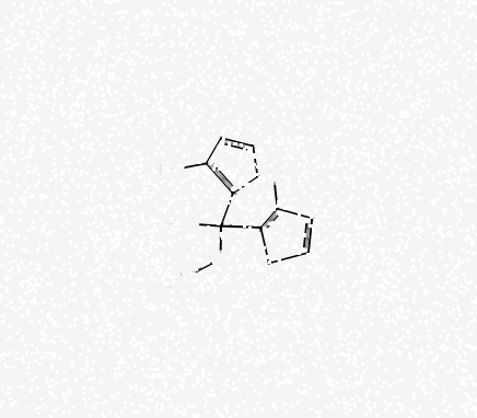 CC1=C(C(C)(OCl)C2=C(C)C=CC2)CC=C1.[Zr]